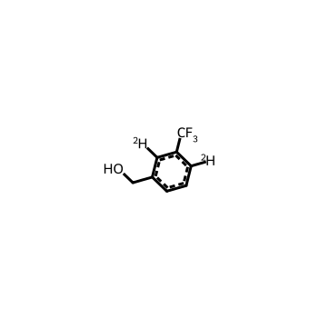 [2H]c1ccc(CO)c([2H])c1C(F)(F)F